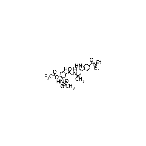 CCN(CC)C(=O)c1ccc2c(C[C@@H](C)NC[C@H](O)c3ccc(OC(=O)C(F)(F)F)c(NS(C)(=O)=O)c3)c[nH]c2c1